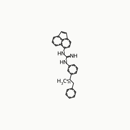 C[C@H](Cc1ccccc1)c1cccc(NC(=N)Nc2ccc3c4c(cccc24)C=C3)c1